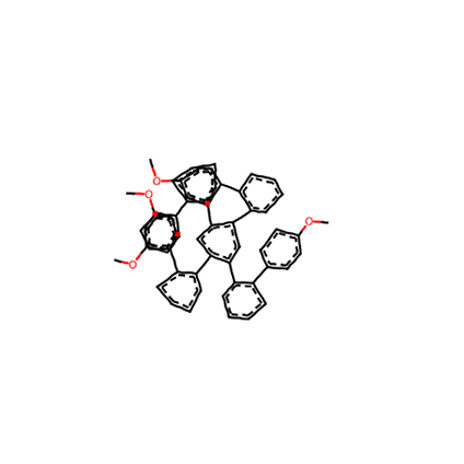 COc1ccc(-c2ccccc2-c2cc(-c3ccccc3-c3ccc(OC)cc3)c(-c3ccccc3-c3ccc(OC)cc3)cc2-c2ccccc2-c2ccc(OC)cc2)cc1